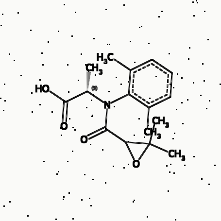 Cc1cccc(C)c1N(C(=O)C1OC1(C)C)[C@@H](C)C(=O)O